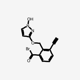 C#Cc1cccc(C(=O)Br)c1COc1ccn(O)n1